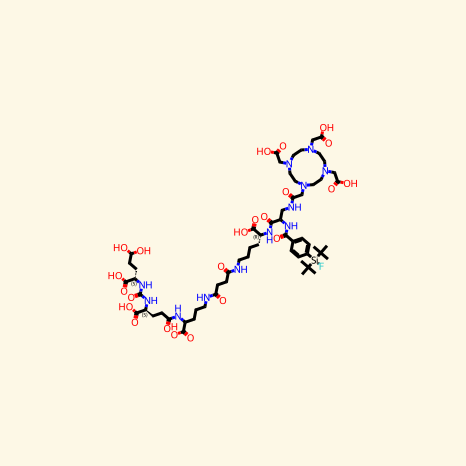 CC(C)(C)[Si](F)(c1ccc(C(=O)NC(CNC(=O)CN2CCN(CC(=O)O)CCN(CC(=O)O)CCN(CC(=O)O)CC2)C(=O)N[C@H](CCCCNC(=O)CCC(=O)NCCCC(NC(=O)CC[C@H](NC(=O)N[C@@H](CCC(O)O)C(=O)O)C(=O)O)C(=O)O)C(=O)O)cc1)C(C)(C)C